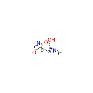 COc1ccc2nccc([C@H](F)CC[C@@H]3CCN(CC4CCC4)C[C@H]3CCC(=O)O)c2c1